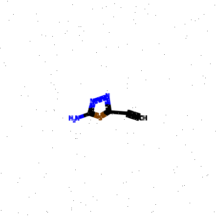 C#Cc1nnc(N)s1